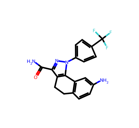 NC(=O)c1nn(-c2ccc(C(F)(F)F)cc2)c2c1CCc1ccc(N)cc1-2